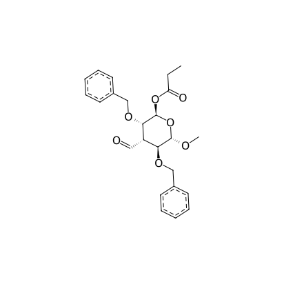 CCC(=O)O[C@H]1O[C@H](OC)[C@@H](OCc2ccccc2)[C@H](C=O)[C@@H]1OCc1ccccc1